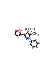 Cc1c(C(=O)O)c(-c2ccco2)nn1-c1ccccc1